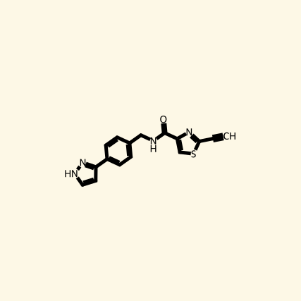 C#Cc1nc(C(=O)NCc2ccc(-c3cc[nH]n3)cc2)cs1